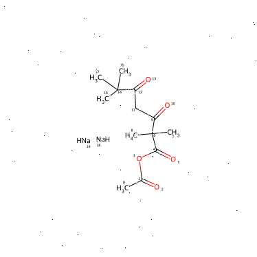 CC(=O)OC(=O)C(C)(C)C(=O)CC(=O)C(C)(C)C.[NaH].[NaH]